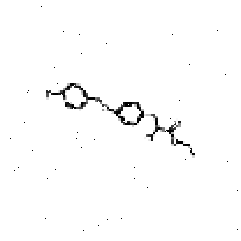 CCOC(=O)C(Cl)Cc1ccc(OCc2ccc(F)cc2)cc1